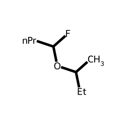 CCCC(F)OC(C)CC